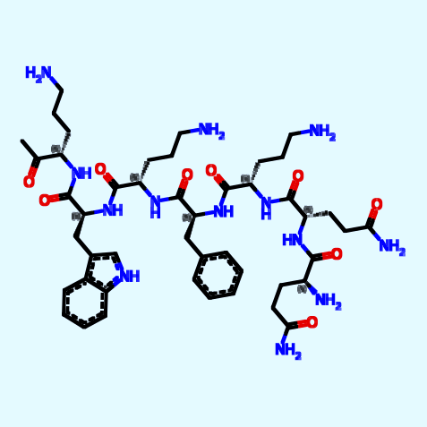 CC(=O)[C@H](CCCN)NC(=O)[C@H](Cc1c[nH]c2ccccc12)NC(=O)[C@H](CCCN)NC(=O)[C@H](Cc1ccccc1)NC(=O)[C@H](CCCN)NC(=O)[C@H](CCC(N)=O)NC(=O)[C@@H](N)CCC(N)=O